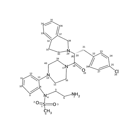 CS(=O)(=O)N(CCN)c1ccccc1N1CCN(C(=O)[C@@H](Cc2ccc(Cl)cc2)N2[CH]Cc3ccccc3C2)CC1